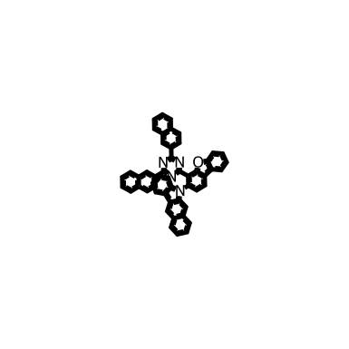 c1ccc2cc(-c3nc(-c4ccc5ccccc5c4)nc(-c4c(-n5c6ccccc6c6cc7ccccc7cc65)ccc5c4oc4ccccc45)n3)ccc2c1